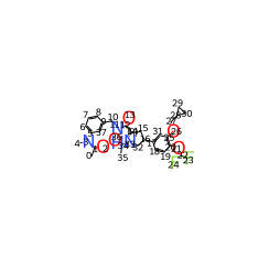 CC(=O)N(C)c1cccc(CNC(=O)[C@H]2CC(c3ccc(OC(F)F)c(OCC4CC4)c3)CN2C(C)=O)c1